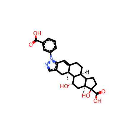 C[C@]12Cc3cnn(-c4cccc(C(=O)O)c4)c3C=C1CC[C@@H]1C2[C@@H](O)C[C@@]2(C)C1CC[C@]2(O)C(=O)O